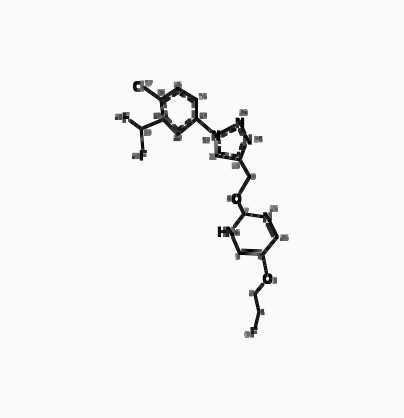 FCCOC1=CNC(OCc2cn(-c3ccc(Cl)c(C(F)F)c3)nn2)N=C1